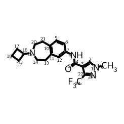 Cn1cc(C(=O)Nc2ccc3c(c2)CCN(C2CCC2)CC3)c(C(F)(F)F)n1